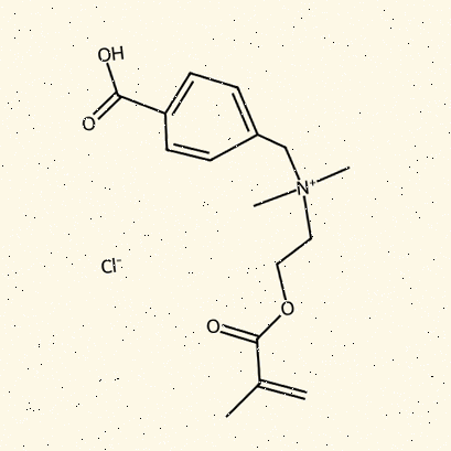 C=C(C)C(=O)OCC[N+](C)(C)Cc1ccc(C(=O)O)cc1.[Cl-]